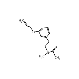 C=CCOc1cccc(CCN(C)C(C)=O)c1